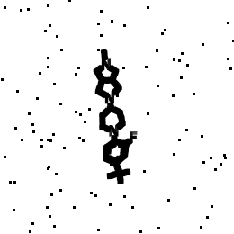 CN1CC2CN(C3CCN(c4ccc(C(C)(C)C)cc4F)CC3)CC2C1